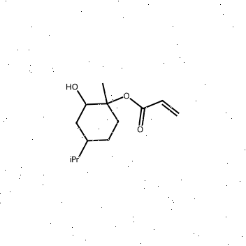 C=CC(=O)OC1(C)CCC(C(C)C)CC1O